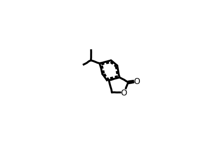 CC(C)c1ccc2c(c1)COC2=O